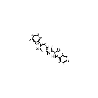 O=C(Nc1ccccc1)c1cn2cc(-c3ccccn3)ccc2n1